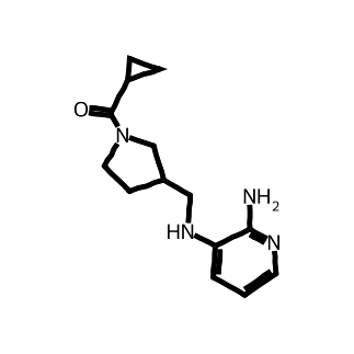 Nc1ncccc1NCC1CCN(C(=O)C2CC2)C1